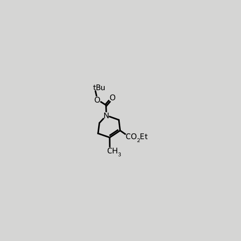 CCOC(=O)C1=C(C)CCN(C(=O)OC(C)(C)C)C1